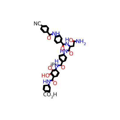 CC(C)Oc1c(NC(=O)c2ccc(NC(=O)C(CC(N)=O)NC(=O)c3ccc(NC(=O)c4ccc(C#N)cc4)cc3)cc2)ccc(C(=O)Nc2ccc(C(=O)O)cc2)c1O